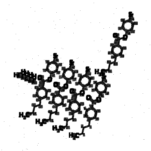 CCCCc1ccc(C(=O)Oc2ccc([S])cc2)cc1.CCCCc1ccc(C(=O)Oc2ccc([S])cc2)cc1.CCCCc1ccc(C(=O)Oc2ccc([S])cc2)cc1.CCCCc1ccc(C(=O)Oc2ccc([S])cc2)cc1.CCCCc1ccc(C(=O)Oc2ccc([S])cc2)cc1.F.F.F.F.F